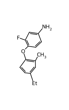 CCc1ccc(Oc2ccc(N)cc2F)c(C)c1